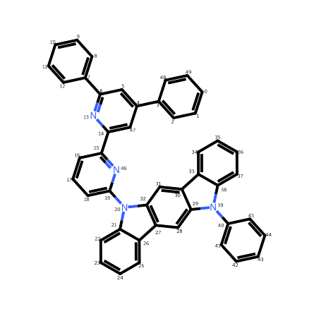 c1ccc(-c2cc(-c3ccccc3)nc(-c3cccc(-n4c5ccccc5c5cc6c(cc54)c4ccccc4n6-c4ccccc4)n3)c2)cc1